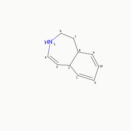 C1=CC2C=CNCCC2C=C1